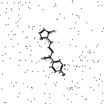 Cn1ccnc1S/C=C/C(=O)c1ccc(F)cc1